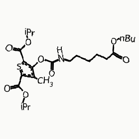 CCCCOC(=O)CCCCCNC(=O)Oc1c(C(=O)OC(C)C)sc(C(=O)OC(C)C)c1C